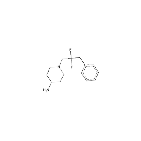 NC1CCN(CC(F)(F)Cc2ccccc2)CC1